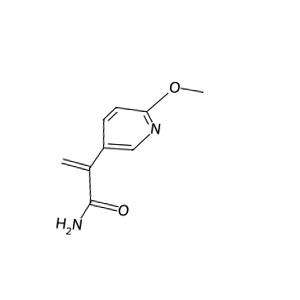 C=C(C(N)=O)c1ccc(OC)nc1